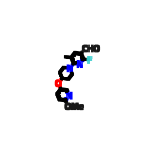 COc1ccc(OC2CCN(c3nc(F)c(C=O)cc3C)CC2)cn1